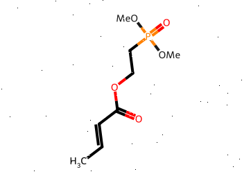 CC=CC(=O)OCCP(=O)(OC)OC